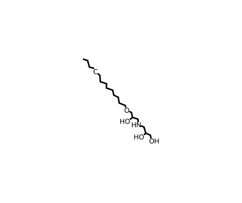 CCCCCCCCCCCCCCOCC(O)CNCC(O)CO